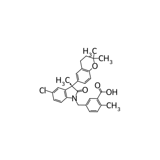 Cc1ccc(CN2C(=O)[C@@](C)(c3ccc4c(c3)CCC(C)(C)O4)c3cc(Cl)ccc32)cc1C(=O)O